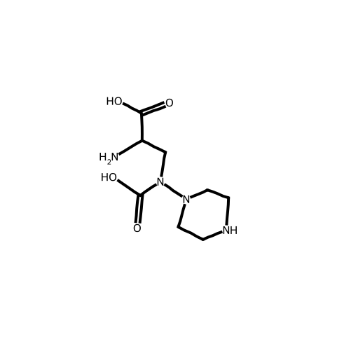 NC(CN(C(=O)O)N1CCNCC1)C(=O)O